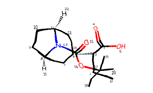 CCC(C(=O)O)[C@@H]1C[C@H]2CC[C@@H](C1)N2C(=O)OC(C)(C)C